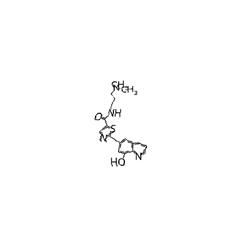 CN(C)CCCNC(=O)c1cnc(-c2cc(O)c3ncccc3c2)s1